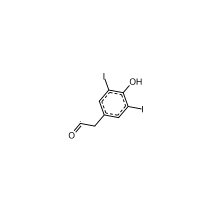 O=[C]Cc1cc(I)c(O)c(I)c1